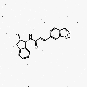 C[C@@H]1Cc2ccccc2[C@H]1NC(=O)/C=C/c1ccc2cn[nH]c2c1